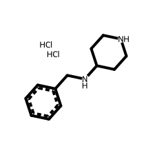 Cl.Cl.c1ccc(CNC2CCNCC2)cc1